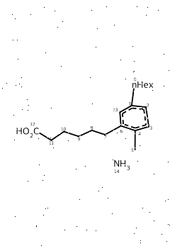 CCCCCCc1ccc(C)c(CCCCCC(=O)O)c1.N